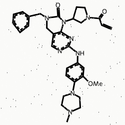 C=CC(=O)N1CCC(N2C(=O)N(Cc3ccccc3)Cc3cnc(Nc4ccc(N5CCN(C)CC5)c(OC)c4)nc32)C1